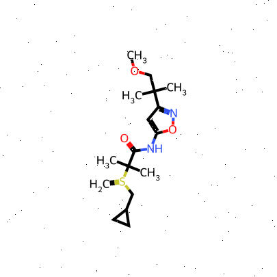 C=S(CC1CC1)C(C)(C)C(=O)Nc1cc(C(C)(C)COC)no1